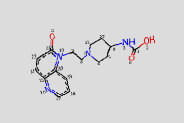 O=C(O)NC1CCN(CCn2c(=O)ccc3ncccc32)CC1